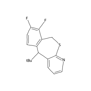 CC(C)(C)C1c2cccnc2SCc2c1ccc(F)c2F